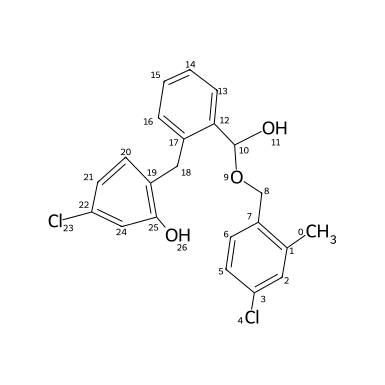 Cc1cc(Cl)ccc1COC(O)c1ccccc1Cc1ccc(Cl)cc1O